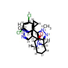 Cn1nc2c(c1-c1cc(Cl)cc(Cl)c1)C[C@H]1CCC[C@@H]2N1C(=O)c1cnn(C)c1C1CC1